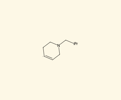 CC(C)CN1CC=[C]CC1